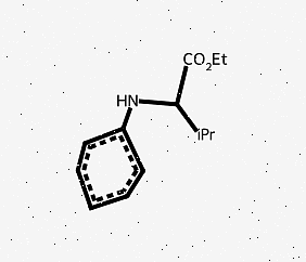 CCOC(=O)C(Nc1ccccc1)C(C)C